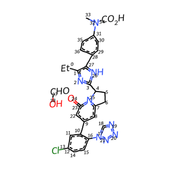 CCc1nc(C2CCc3cc(-c4cc(Cl)ccc4-n4cnnn4)cc(=O)n32)[nH]c1-c1ccc(N(C)C(=O)O)cc1.O=CO